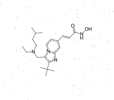 CCN(CCC(C)C)Cc1c(C(C)(C)C)nc2cc(C=CC(=O)NO)ccn12